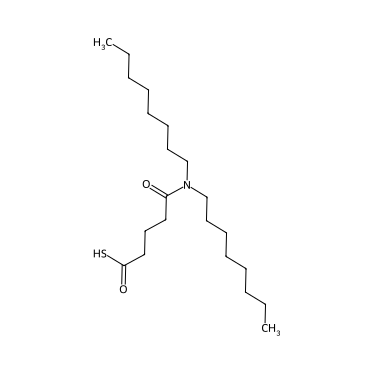 CCCCCCCCN(CCCCCCCC)C(=O)CCCC(=O)S